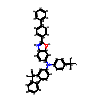 CC(C)(C)c1ccc(N(c2ccc3c(c2)C(C)(C)c2ccccc2-3)c2ccc3nc(-c4ccc(-c5ccccc5)cc4)oc3c2)cc1